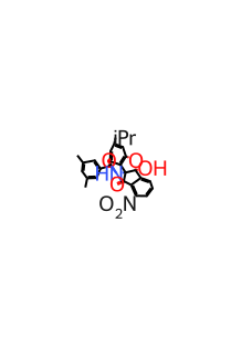 Cc1cc(C)cc(C(=O)NC23C(=O)c4c([N+](=O)[O-])cccc4C2(O)Oc2cc(C(C)C)ccc23)c1